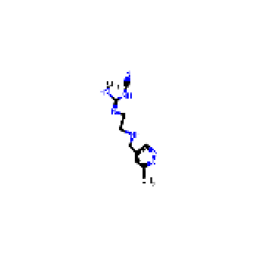 CN/C(=N/CCNCc1cnnc(C)c1)NC#N